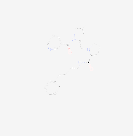 CC(C)C[C@H](CN1CCC[C@H]1C(=O)NCCCCc1ccccc1)NC(=O)c1cccnc1